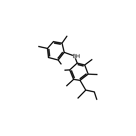 CCC(C)c1c(C)c(C)c(Bc2c(C)cc(C)cc2C)c(C)c1C